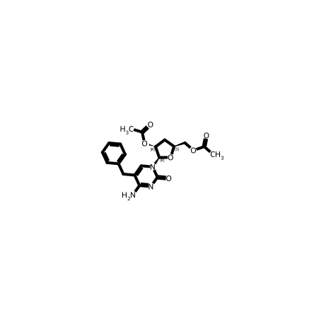 CC(=O)OC[C@@H]1C[C@@H](OC(C)=O)[C@H](n2cc(Cc3ccccc3)c(N)nc2=O)O1